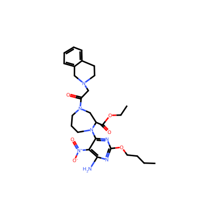 CCCCOc1nc(N)c([N+](=O)[O-])c(N2CCCN(C(=O)CN3CCc4ccccc4C3)CC2C(=O)OCC)n1